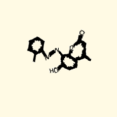 Cc1ccccc1/N=N/c1c(O)ccc2c(C)cc(=O)oc12